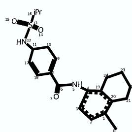 Cc1ccc(NC(=O)C2=CCC(NS(=O)(=O)C(C)C)C=C2)c2c1CCCC2